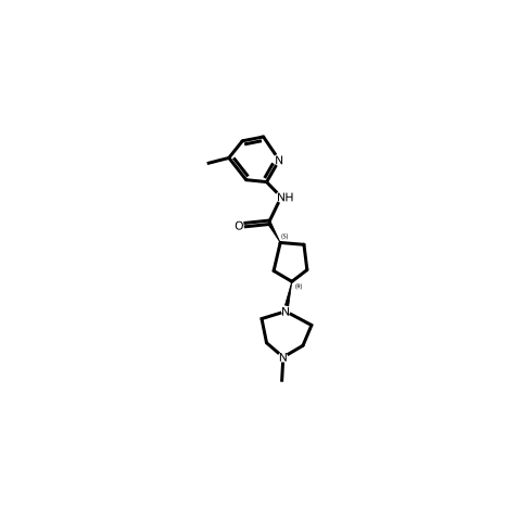 Cc1ccnc(NC(=O)[C@H]2CC[C@@H](N3CCN(C)CC3)C2)c1